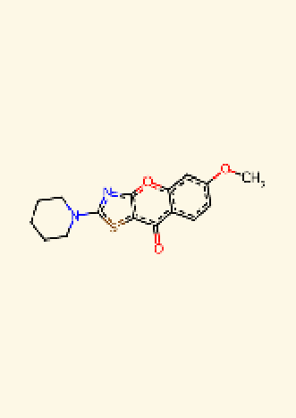 COc1ccc2c(=O)c3sc(N4CCCCC4)nc3oc2c1